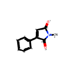 N#CN1C(=O)C=C(c2ccccc2)C1=O